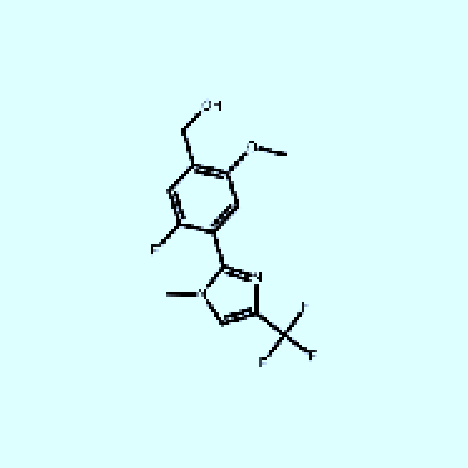 COc1cc(-c2nc(C(F)(F)F)cn2C)c(F)cc1CO